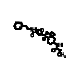 C=CC(=O)NC1CCN(S(=O)(=O)c2cc(C(=O)NCCc3ccccc3)co2)C2(CCC2)C1